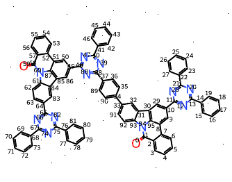 O=c1c2ccccc2c2cc(-c3nc(-c4ccccc4)nc(-c4ccccc4)n3)cc3c4cc(-c5ccc(-c6nc(-c7ccccc7)nc(-c7cc8c9ccccc9c(=O)n9c%10ccc(-c%11nc(-c%12ccccc%12)nc(-c%12ccccc%12)n%11)cc%10c(c7)c89)n6)cc5)ccc4n1c23